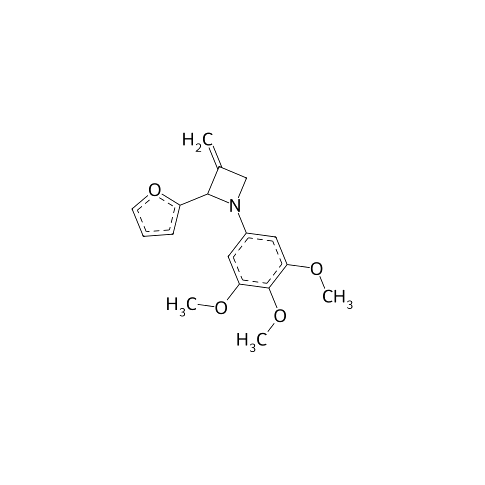 C=C1CN(c2cc(OC)c(OC)c(OC)c2)C1c1ccco1